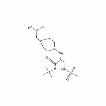 CC(C)(C)OC(=O)C(CNS(C)(=O)=O)NC1CCC(CC(=O)O)CC1